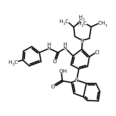 Cc1ccc(NC(=O)Nc2cc(-n3c(C(=O)O)cc4ccccc43)cc(Cl)c2N(CC(C)C)CC(C)C)cc1